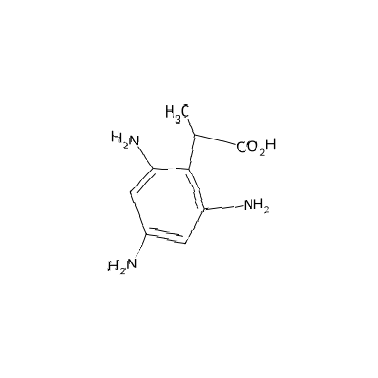 CC(C(=O)O)c1c(N)cc(N)cc1N